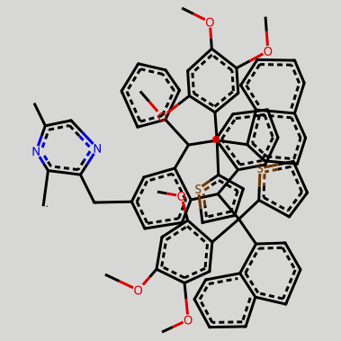 [CH2]c1nc(C)cnc1Cc1ccc(C(c2ccccc2)C(c2cccs2)(c2cc(OC)c(OC)cc2OC)c2cccc3ccccc23)c(C(c2ccccc2)C(c2cccs2)(c2cc(OC)c(OC)cc2OC)c2cccc3ccccc23)c1